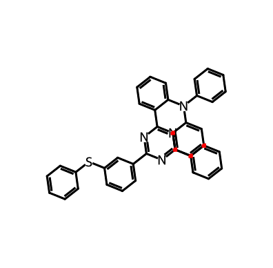 c1ccc(Sc2cccc(-c3nc(-c4ccccc4)nc(-c4ccccc4N(c4ccccc4)c4ccccc4)n3)c2)cc1